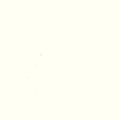 CCN(CC)CCOc1ccc(-c2cc(C(=O)NC3CCCN(C(=O)OC(C)(C)C)C3)c(NC(N)=O)s2)cc1.O=C(O)C(F)(F)F